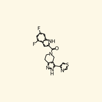 O=C(c1cc2c(F)cc(F)cc2[nH]1)N1CCc2n[nH]c(-c3cscn3)c2C1